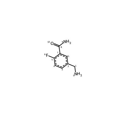 NCc1ccc(F)c(C(N)=O)c1